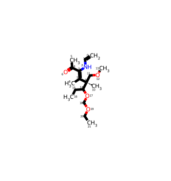 C=CN/C(C(C)=O)=C(/C)[C@@](C)(COC)C(CC)OCOCC